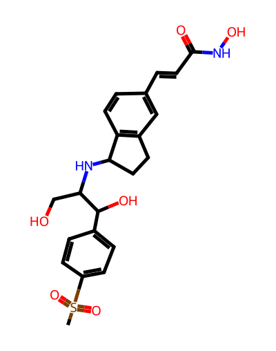 CS(=O)(=O)c1ccc(C(O)C(CO)NC2CCc3cc(C=CC(=O)NO)ccc32)cc1